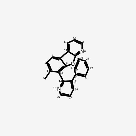 Cc1ccc2c(oc3ncccc32)c1-c1ncccc1-c1ccccc1